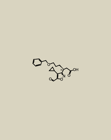 O=Cc1onc([C@@H](CCCOCc2ccccc2)CC(=O)O)c1C1CC1